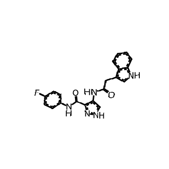 O=C(Cc1c[nH]c2ccccc12)Nc1c[nH]nc1C(=O)Nc1ccc(F)cc1